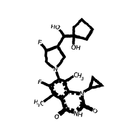 Cc1c(F)c(N2CC(F)C(C(O)C3(O)CCCC3)C2)c(C)c2c1c(=O)[nH]c(=O)n2C1CC1